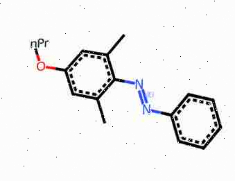 CCCOc1cc(C)c(/N=N/c2ccccc2)c(C)c1